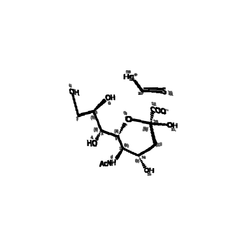 CC(=O)N[C@H]1[C@H]([C@H](O)[C@H](O)CO)O[C@](O)(C(=O)[O-])C[C@@H]1O.S=[CH][Hg+]